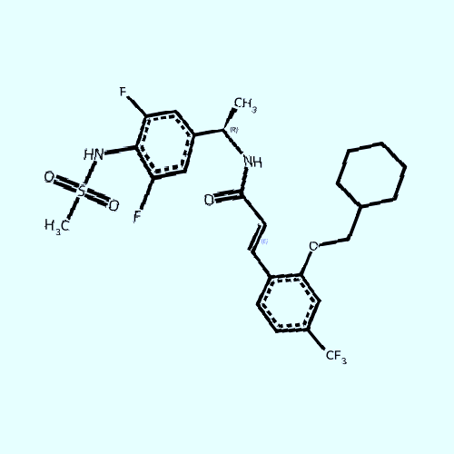 C[C@@H](NC(=O)/C=C/c1ccc(C(F)(F)F)cc1OCC1CCCCC1)c1cc(F)c(NS(C)(=O)=O)c(F)c1